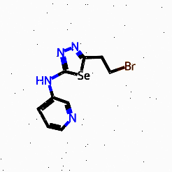 BrCCc1nnc(Nc2cccnc2)[se]1